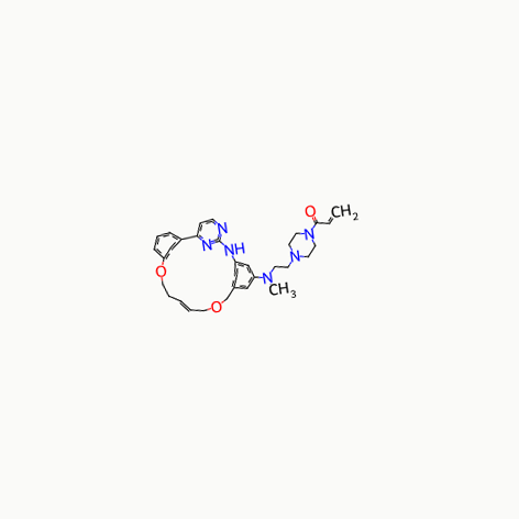 C=CC(=O)N1CCN(CCN(C)c2cc3cc(c2)Nc2nccc(n2)-c2cccc(c2)OCC/C=C/COC3)CC1